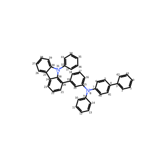 c1ccc(-c2ccc(N(c3ccccc3)c3cccc(-c4cccc5c6ccccc6n(-c6ccccc6)c45)c3)cc2)cc1